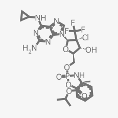 CC(C)OC(=O)[C@H](C)NP(=O)(OC[C@H]1O[C@@H](n2cnc3c(NC4CC4)nc(N)nc32)[C@@](Cl)(C(F)(F)F)[C@@H]1O)Oc1ccccc1